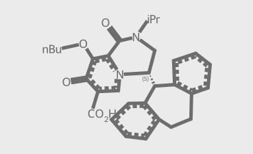 CCCCOc1c2n(cc(C(=O)O)c1=O)[C@@H](C1c3ccccc3CCc3ccccc31)CN(C(C)C)C2=O